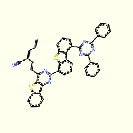 C=C/C=C(C#N)\C=C\c1nc(-c2cccc3c2sc2cccc(-c4nc(-c5ccccc5)nc(-c5ccccc5)n4)c23)nc2c1sc1ccccc12